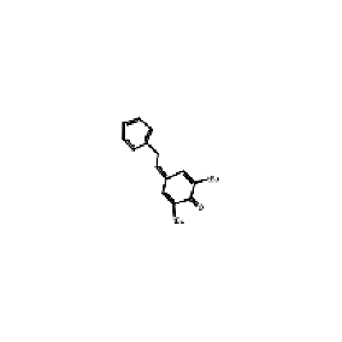 CC(C)(C)C1=CC(=CCc2ccccc2)C=C(C(C)(C)C)C1=O